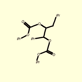 CC(C)CC(OC(=O)OC(C)C)C(OC(=O)OC(C)C)C(C)C